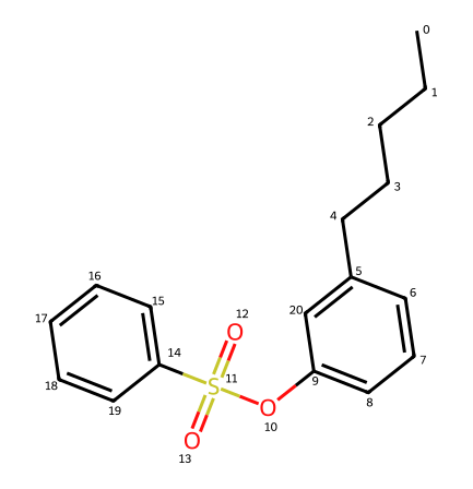 CCCCCc1cccc(OS(=O)(=O)c2ccccc2)c1